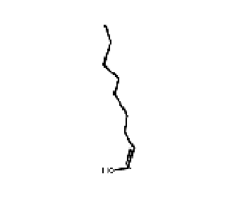 CCCCCCC/C=[C]\O